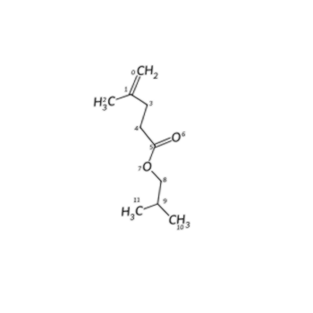 C=C(C)CCC(=O)OCC(C)C